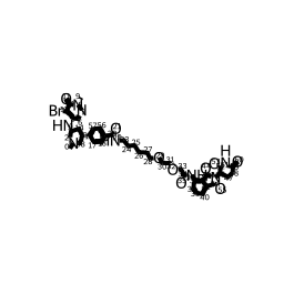 CN1C[C@H](Nc2cnn(C)c(=O)c2Br)C[C@H](c2ccc(C(=O)NCCCCCCOCCOCC(=O)Nc3cccc4c3C(=O)N(C3CCC(=O)NC3=O)C4=O)cc2)C1